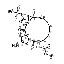 CCC(C)S(=O)(=O)NC(=O)[C@@]12C[C@H]1/C=C\CCCCC[C@H](NC(=O)OC(C)(C)C)C(=O)N1C[C@H](N)C[C@H]1C(=O)N2C